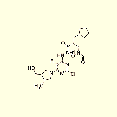 C[C@H]1CN(c2nc(Cl)nc(NNC(=O)[C@H](CC3CCCC3)CN(O)C=O)c2F)C[C@@H]1CO